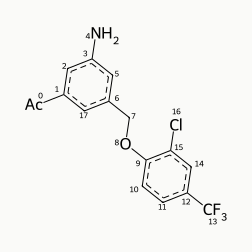 CC(=O)c1cc(N)cc(COc2ccc(C(F)(F)F)cc2Cl)c1